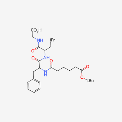 CC(C)CC(NC(=O)C(Cc1ccccc1)NC(=O)CCCCC(=O)OC(C)(C)C)C(=O)NCC(=O)O